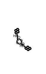 O=C(CN1CCOCCN(CC(=O)NCc2ccc3ccc4cccc5ccc2c3c45)CCOCC1)NCc1ccc2ccc3cccc4ccc1c2c34